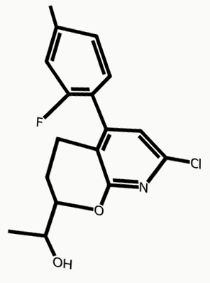 Cc1ccc(-c2cc(Cl)nc3c2CCC(C(C)O)O3)c(F)c1